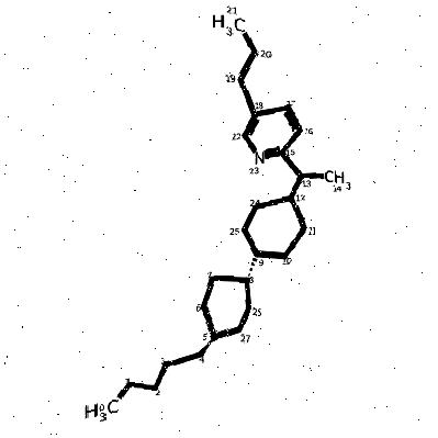 CCCCC[C@H]1CC[C@H](C2CCC(C(C)c3ccc(CCC)cn3)CC2)CC1